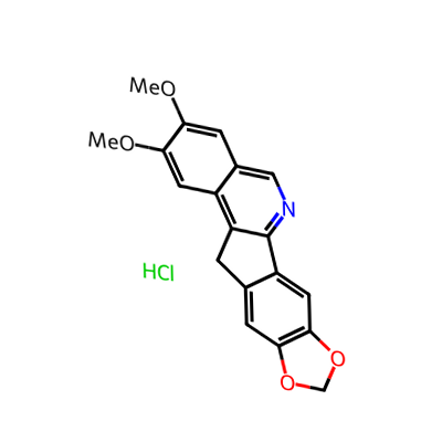 COc1cc2cnc3c(c2cc1OC)Cc1cc2c(cc1-3)OCO2.Cl